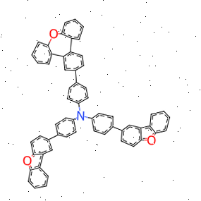 c1ccc2c(c1)Oc1ccccc1-c1cc(-c3ccc(N(c4ccc(-c5ccc6oc7ccccc7c6c5)cc4)c4ccc(-c5ccc6oc7ccccc7c6c5)cc4)cc3)ccc1-2